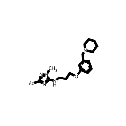 CC(=O)c1nc(NCCCOc2cccc(CN3CCCCC3)c2)n(C)n1